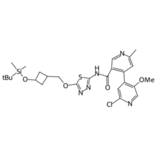 COc1cnc(Cl)cc1-c1cc(C)ncc1C(=O)Nc1nnc(OCC2CC(O[Si](C)(C)C(C)(C)C)C2)s1